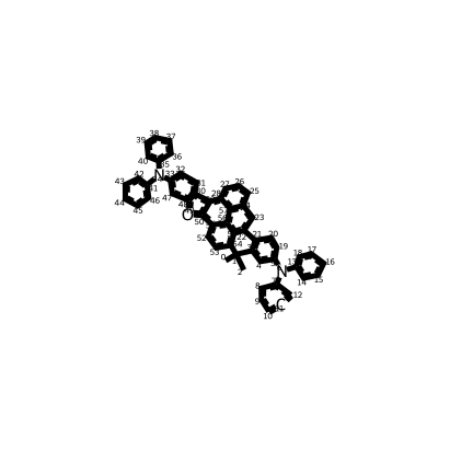 CC1(C)c2cc(N(c3ccccc3)c3ccccc3)ccc2-c2cc3cccc4c5c6ccc(N(c7ccccc7)c7ccccc7)cc6oc5c5ccc1c2c5c34